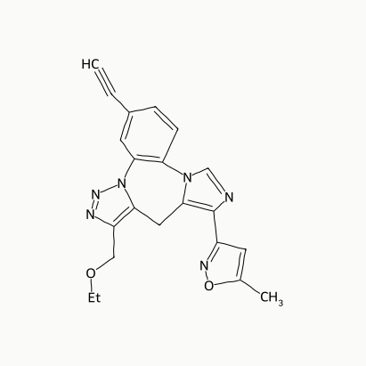 C#Cc1ccc2c(c1)-n1nnc(COCC)c1Cc1c(-c3cc(C)on3)ncn1-2